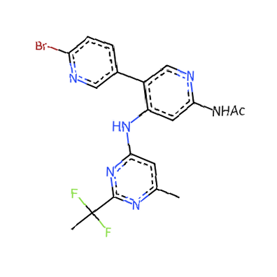 CC(=O)Nc1cc(Nc2cc(C)nc(C(C)(F)F)n2)c(-c2ccc(Br)nc2)cn1